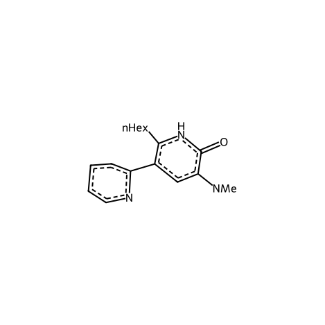 CCCCCCc1[nH]c(=O)c(NC)cc1-c1ccccn1